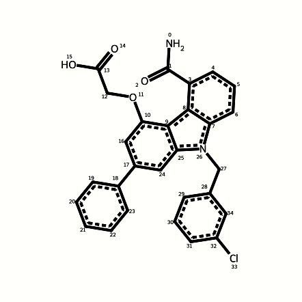 NC(=O)c1cccc2c1c1c(OCC(=O)O)cc(-c3ccccc3)cc1n2Cc1cccc(Cl)c1